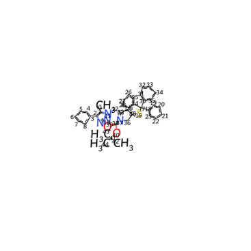 Cc1c(-c2ccccc2)nnn1C[C@@H]1C[C@@H](SC(c2ccccc2)(c2ccccc2)c2ccccc2)CN1C(=O)OC(C)(C)C